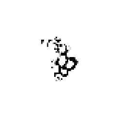 CCC(C)Cc1ccc2cccc3c2c1C(=O)N(OS(=O)(=O)C(F)(F)F)C3=O